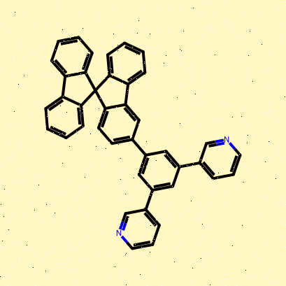 c1cncc(-c2cc(-c3cccnc3)cc(-c3ccc4c(c3)-c3ccccc3C43c4ccccc4-c4ccccc43)c2)c1